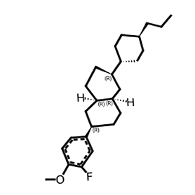 CCC[C@H]1CC[C@H]([C@@H]2CC[C@@H]3C[C@H](c4ccc(OC)c(F)c4)CC[C@@H]3C2)CC1